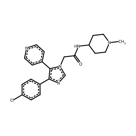 CN1CCC(NC(=O)Cn2cnc(-c3ccc(Cl)cc3)c2-c2ccncc2)CC1